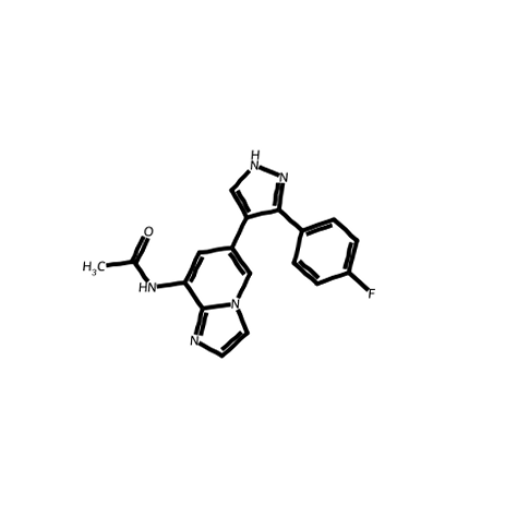 CC(=O)Nc1cc(-c2c[nH]nc2-c2ccc(F)cc2)cn2ccnc12